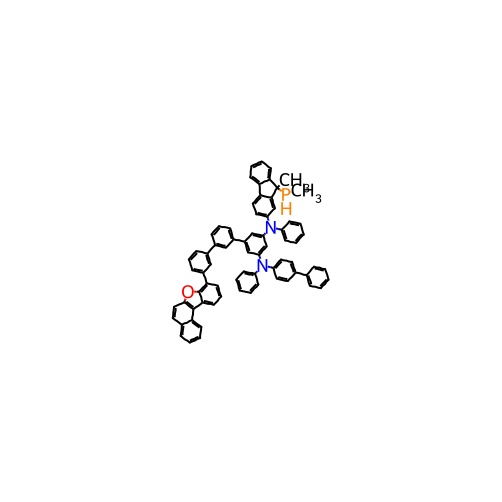 CPC1(C)c2ccccc2-c2ccc(N(c3ccccc3)c3cc(-c4cccc(-c5cccc(-c6cccc7c6oc6ccc8ccccc8c67)c5)c4)cc(N(c4ccccc4)c4ccc(-c5ccccc5)cc4)c3)cc21